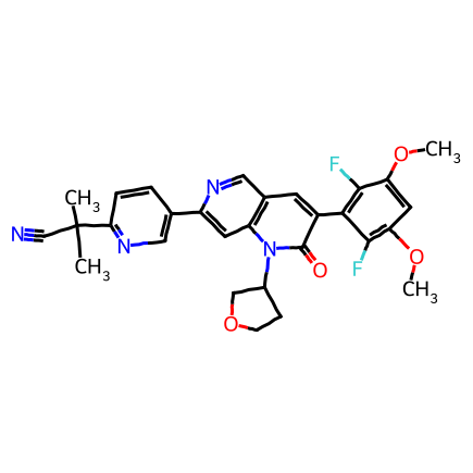 COc1cc(OC)c(F)c(-c2cc3cnc(-c4ccc(C(C)(C)C#N)nc4)cc3n(C3CCOC3)c2=O)c1F